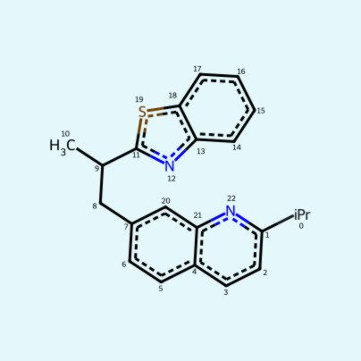 CC(C)c1ccc2ccc(CC(C)c3nc4ccccc4s3)cc2n1